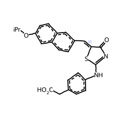 CC(C)Oc1ccc2cc(/C=C3\SC(Nc4ccc(CC(=O)O)cc4)=NC3=O)ccc2c1